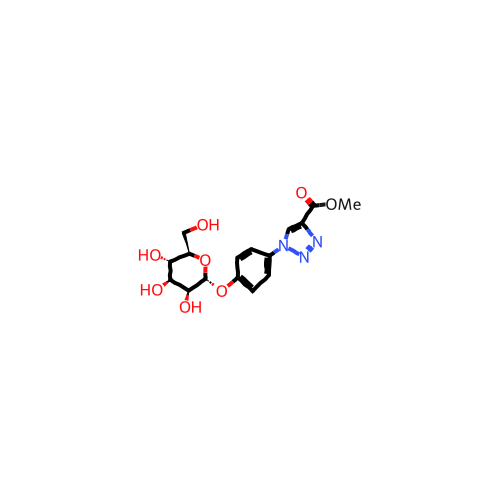 COC(=O)c1cn(-c2ccc(O[C@H]3O[C@H](CO)[C@@H](O)[C@H](O)[C@@H]3O)cc2)nn1